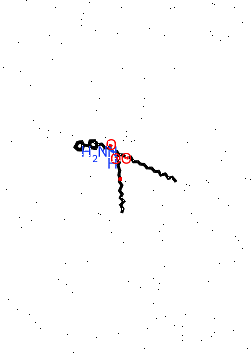 CCCCCCCCCCCCCCOCC(CNC(=O)[C@@H](N)Cc1ccc(-c2ccccc2)cc1)OCCCCCCCCCCCCCC